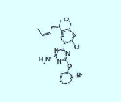 C/C=C\C=C1\COCc2cc(Cl)c(-c3nc(N)nc(Oc4ccccc4Br)n3)cc21